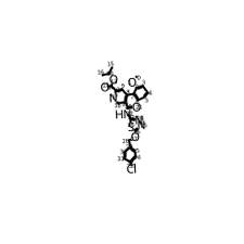 COc1ccccc1-c1cc(C(=O)OC(C)C)ncc1C(=O)Nc1nnc(OCc2ccc(Cl)cc2)s1